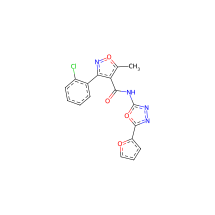 Cc1onc(-c2ccccc2Cl)c1C(=O)Nc1nnc(-c2ccco2)o1